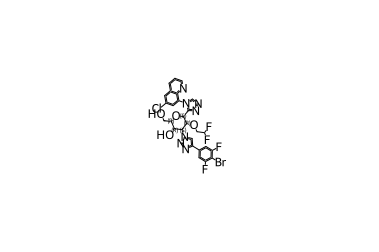 OC[C@H]1O[C@@H](c2nncn2-c2cc(Cl)cc3cccnc23)[C@H](OCC(F)F)[C@@H](n2cc(-c3cc(F)c(Br)c(F)c3)nn2)[C@H]1O